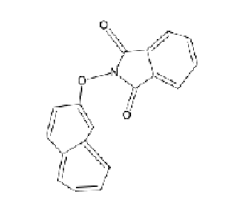 O=C1c2ccccc2C(=O)N1Oc1ccc2ccccc2c1